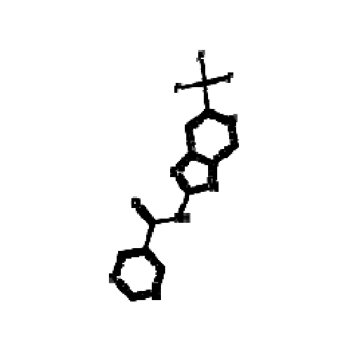 O=C(Nc1nc2cnc(C(F)(F)F)cc2s1)c1cncnc1